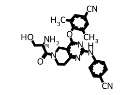 Cc1cc(C#N)cc(C)c1Oc1nc(Nc2ccc(C#N)cc2)nc2c1CN(C(=O)[C@H](N)CO)CC2